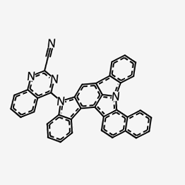 N#Cc1nc(-n2c3ccccc3c3c4c5ccc6ccccc6c5n5c6ccccc6c(cc32)c45)c2ccccc2n1